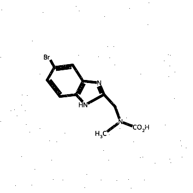 CN(Cc1nc2cc(Br)ccc2[nH]1)C(=O)O